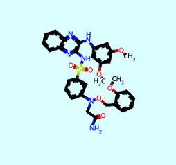 COc1cc(Nc2nc3ccccc3nc2NS(=O)(=O)c2cccc(N(CC(N)=O)OCc3ccccc3OC)c2)cc(OC)c1